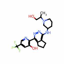 CC(CO)N1CCCC(Nc2nnc(-c3ncc(C(F)(F)F)cc3O)c3c2CCC3)C1